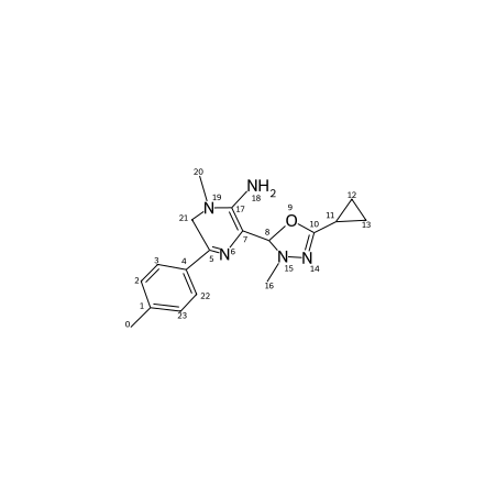 Cc1ccc(C2=NC(C3OC(C4CC4)=NN3C)=C(N)N(C)C2)cc1